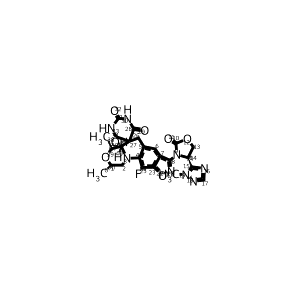 C[C@@H]1CN2c3c(cc4c(N5C(=O)OC[C@H]5c5ncnn5C)noc4c3F)CC3(C(=O)NC(=O)NC3O)[C@H]2[C@H](C)O1